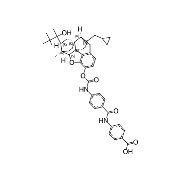 CC(C)(C)C(C)(O)[C@H]1C[C@@]23CC[C@@]1(C)[C@@H]1Oc4c(OC(=O)Nc5ccc(C(=O)Nc6ccc(C(=O)O)cc6)cc5)ccc5c4[C@@]12CCN(CC1CC1)[C@@H]3C5